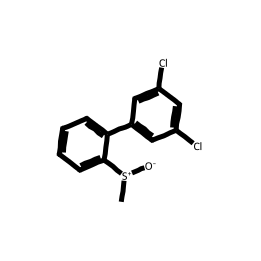 C[S+]([O-])c1ccccc1-c1cc(Cl)cc(Cl)c1